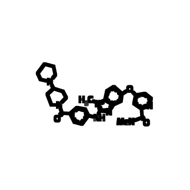 CNC(=O)c1cc(Oc2ccc3c(c2)nc(Nc2ccc(C(=O)N4CCC(N5CCCCC5)CC4)cc2)n3C)ccn1